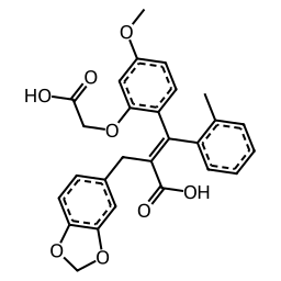 COc1ccc(C(=C(Cc2ccc3c(c2)OCO3)C(=O)O)c2ccccc2C)c(OCC(=O)O)c1